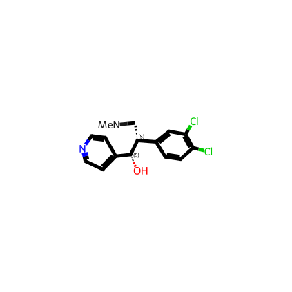 CNC[C@H](c1ccc(Cl)c(Cl)c1)[C@H](O)c1ccncc1